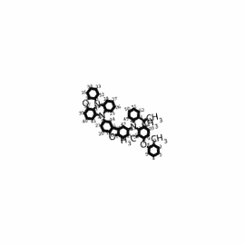 Cc1ccccc1Oc1cccc(N(c2ccc3oc4ccc(N5c6ccccc6N6c7ccccc7Oc7cccc5c76)cc4c3c2)c2ccccc2C(C)C)c1C